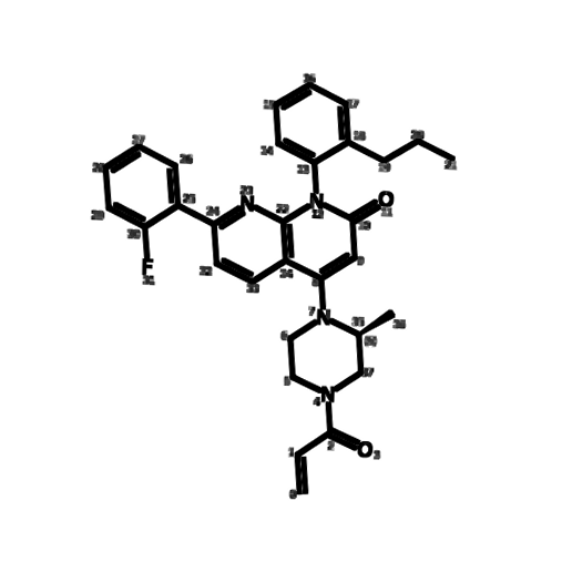 C=CC(=O)N1CCN(c2cc(=O)n(-c3ccccc3CCC)c3nc(-c4ccccc4F)ccc23)[C@@H](C)C1